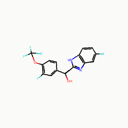 OC(c1ccc(OC(F)(F)F)c(F)c1)c1nc2cc(F)ccc2[nH]1